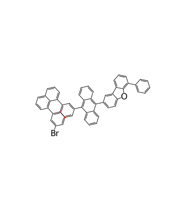 Brc1cccc(-c2cccc3cccc(-c4cccc(-c5c6ccccc6c(-c6ccc7oc8c(-c9ccccc9)cccc8c7c6)c6ccccc56)c4)c23)c1